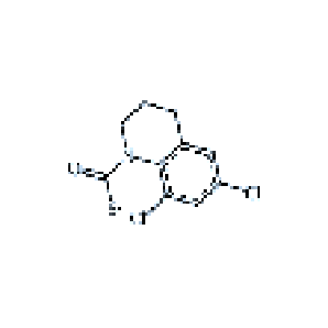 O=C([S])N1CCCc2cc(Cl)cc(Cl)c21